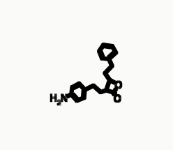 Nc1ccc(CCC2C(=O)OC2CCc2ccccc2)cc1